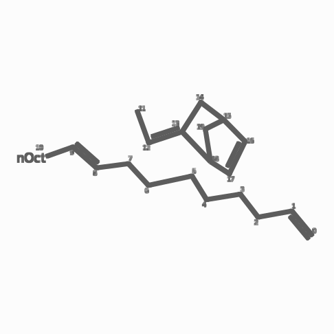 C=CCCCCCCC=CCCCCCCCC.CC=C1CC2C=CC1C2